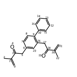 C=C(C)C(=O)Cc1ccc(-c2ccccc2)c(CC(=O)C(=C)C)c1